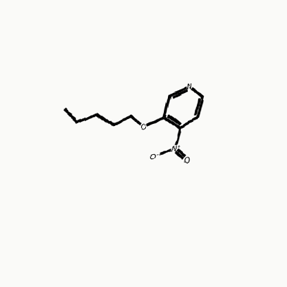 CCCCCOc1cnccc1[N+](=O)[O-]